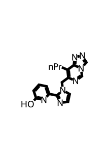 CCCc1c(Cn2ccnc2-c2cccc(O)n2)ncn2cnnc12